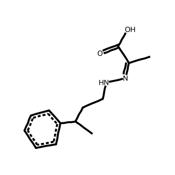 CC(=NNCCC(C)c1ccccc1)C(=O)O